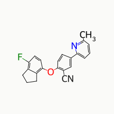 Cc1cccc(-c2ccc(Oc3ccc(F)c4c3CCC4)c(C#N)c2)n1